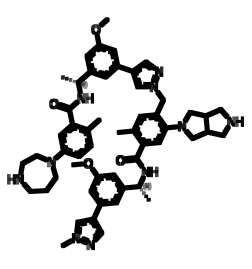 COc1cc(-c2cnn(Cc3cc(C)c(C(=O)N[C@H](C)c4cc(OC)cc(-c5cnn(C)c5)c4)cc3N3CC4CNCC4C3)c2)cc([C@@H](C)NC(=O)c2cc(N3CCCNCC3)ccc2C)c1